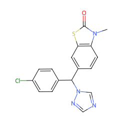 Cn1c(=O)sc2cc(C(c3ccc(Cl)cc3)n3cncn3)ccc21